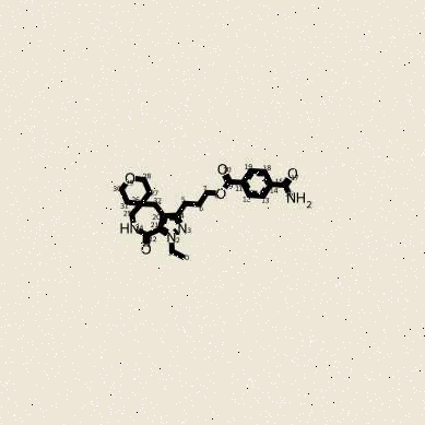 CCn1nc(CCCOC(=O)c2ccc(C(N)=O)cc2)c2c1C(=O)NCC1(CCOCC1)C2